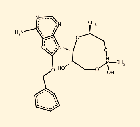 B[PH]1(O)OC[C@H](C)O[C@@H](n2c(OCc3ccccc3)nc3c(N)ncnc32)[C@@H](O)CO1